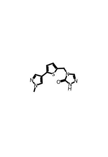 Cn1cc(-c2ccc(Cn3cn[nH]c3=O)s2)cn1